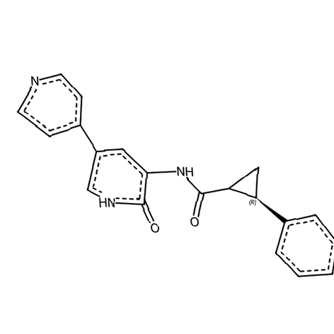 O=C(Nc1cc(-c2ccncc2)c[nH]c1=O)C1C[C@H]1c1ccccc1